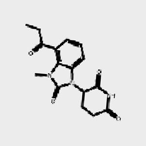 CCC(=O)c1cccc2c1n(C)c(=O)n2C1CCC(=O)NC1=O